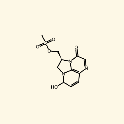 CS(=O)(=O)OC[C@@H]1CN2c3c(ncc(=O)n31)C=CC2O